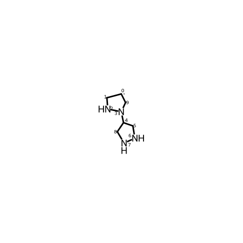 [CH]1CNN(C2CNNC2)C1